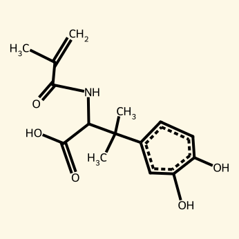 C=C(C)C(=O)NC(C(=O)O)C(C)(C)c1ccc(O)c(O)c1